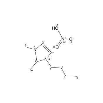 CCCCN1C=CN(C)C1C.O=[N+]([O-])O